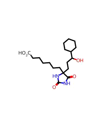 O=C(O)CCCCCCC1(CCC(O)C2CCCCC2)NC(=O)NC1=O